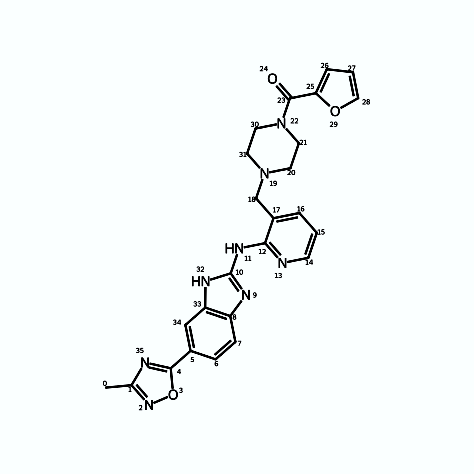 Cc1noc(-c2ccc3nc(Nc4ncccc4CN4CCN(C(=O)c5ccco5)CC4)[nH]c3c2)n1